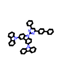 c1ccc(-c2ccc(-c3cc(-c4ccccc4)nc(-n4c5ccc(-n6c7ccccc7c7ccccc76)cc5c5cc(-n6c7ccccc7c7ccccc76)ccc54)n3)cc2)cc1